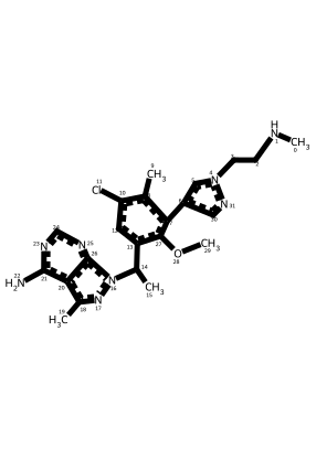 CNCCn1cc(-c2c(C)c(Cl)cc(C(C)n3nc(C)c4c(N)ncnc43)c2OC)cn1